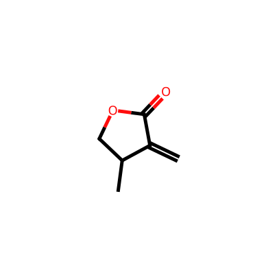 C=C1C(=O)OCC1C